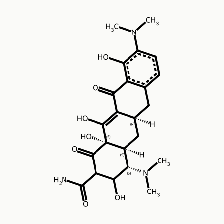 CN(C)c1ccc2c(c1O)C(=O)C1=C(O)[C@]3(O)C(=O)C(C(N)=O)C(O)[C@@H](N(C)C)[C@@H]3C[C@@H]1C2